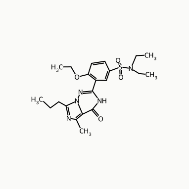 CCCc1nc(C)c2c(=O)[nH]c(-c3cc(S(=O)(=O)N(CC)CC)ccc3OCC)nn12